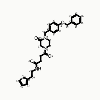 O=C(CCC(=O)N1CCN(Cc2ccc(OCc3ccccc3)cc2)C(=O)C1)NCCc1cccs1